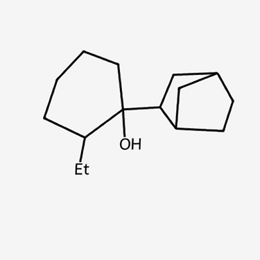 CCC1CCCCC1(O)C1CC2CCC1C2